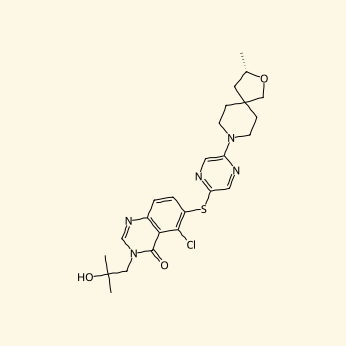 C[C@H]1CC2(CCN(c3cnc(Sc4ccc5ncn(CC(C)(C)O)c(=O)c5c4Cl)cn3)CC2)CO1